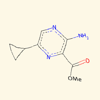 COC(=O)c1nc(C2CC2)cnc1N